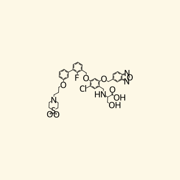 O=C(O)C(CO)NCc1cc(Cl)c(OCc2cccc(-c3cccc(OCCCN4CCS(=O)(=O)CC4)c3)c2F)cc1OCc1ccc2nonc2c1